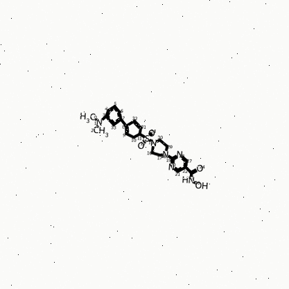 CN(C)c1cccc(C2=CCC(S(=O)(=O)N3CCN(c4ncc(C(=O)NO)cn4)CC3)C=C2)c1